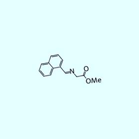 COC(=O)CN=Cc1cccc2ccccc12